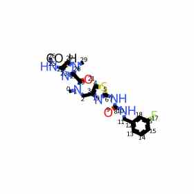 CN(Cc1csc(NC(=O)NCc2cccc(F)c2)n1)C(=O)c1nc(NC(=O)O)cn1C